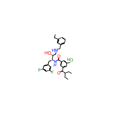 CCc1cccc(CNC[C@H](O)[C@H](Cc2cc(F)cc(F)c2)NC(=O)c2cc(C)cc(C(=O)C(CC)CC)c2)c1.Cl